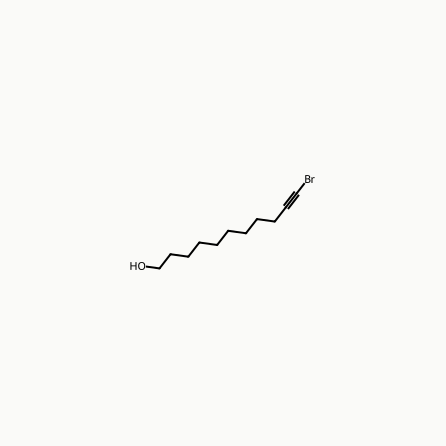 OCCCCCCCCCC#CBr